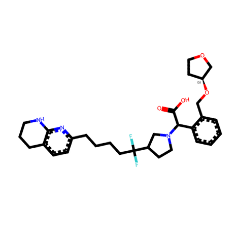 O=C(O)C(c1ccccc1CO[C@H]1CCOC1)N1CCC(C(F)(F)CCCCc2ccc3c(n2)NCCC3)C1